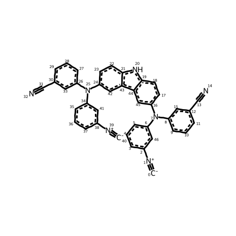 [C-]#[N+]c1cccc(N(c2cccc(C#N)c2)c2ccc3[nH]c4ccc(N(c5cccc(C#N)c5)c5cccc([N+]#[C-])c5)cc4c3c2)c1